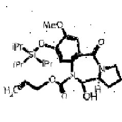 C=CCOC(=O)N1c2cc(O[Si](C(C)C)(C(C)C)C(C)C)c(OC)cc2C(=O)N2CCC[C@H]2C1O